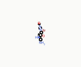 CC1(C)c2cc(N3CCN(C4COC4)CC3)c(Br)cc2C(=O)c2c1[nH]c1cc(N)ccc21